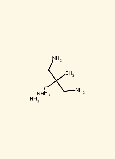 CC(C)(CN)CN.N.N